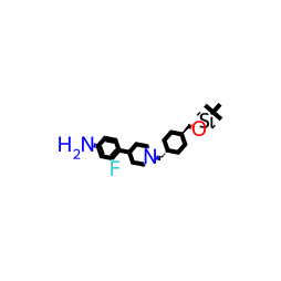 CC(C)(C)[Si](C)(C)OC[C@H]1CC[C@H](CN2CCC(c3ccc(N)cc3F)CC2)CC1